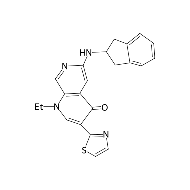 CCn1cc(-c2nccs2)c(=O)c2cc(NC3Cc4ccccc4C3)ncc21